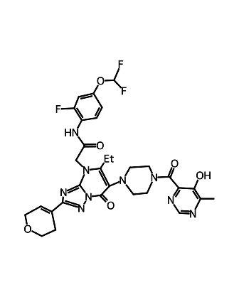 CCc1c(N2CCN(C(=O)c3ncnc(C)c3O)CC2)c(=O)n2nc(C3=CCOCC3)nc2n1CC(=O)Nc1ccc(OC(F)F)cc1F